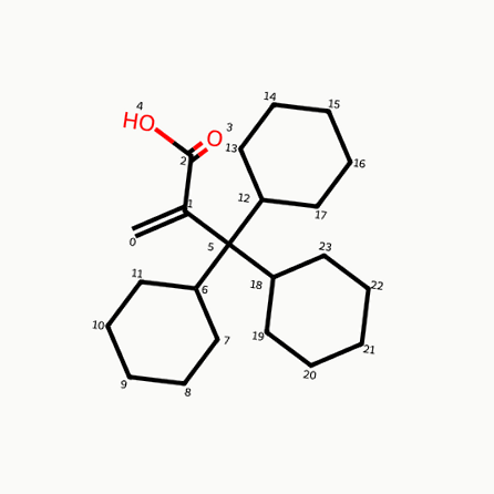 C=C(C(=O)O)C(C1CCCCC1)(C1CCCCC1)C1CCCCC1